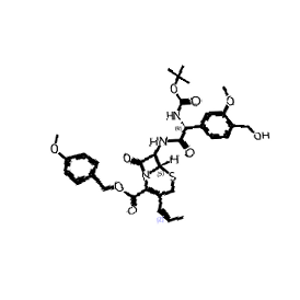 C/C=C\C1=C(C(=O)OCc2ccc(OC)cc2)N2C(=O)C(NC(=O)[C@H](NC(=O)OC(C)(C)C)c3ccc(CO)c(OC)c3)[C@@H]2SC1